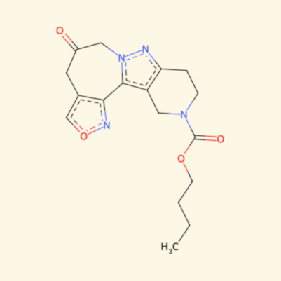 CCCCOC(=O)N1CCc2nn3c(c2C1)-c1nocc1CC(=O)C3